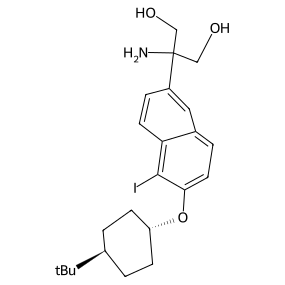 CC(C)(C)[C@H]1CC[C@H](Oc2ccc3cc(C(N)(CO)CO)ccc3c2I)CC1